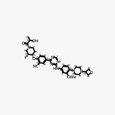 COc1cc(Nc2ncnc(-c3ccc(O[C@H]4CCN(C(=O)C(C)O)C[C@H]4F)c(C#N)c3)n2)ccc1N1CCN(C2COC2)CC1